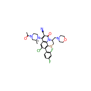 CC(=O)N1CCN(c2c(C#N)c(=O)n3c4c(c(-c5ccc(F)cc5F)c(Cl)cc24)SCC3CN2CCOCC2)[C@@H](C)C1